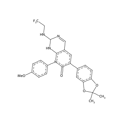 COc1ccc(-n2c3c(cc(-c4ccc5c(c4)OC(C)(C)O5)c2=O)C=NC(NCC(F)(F)F)N3)cc1